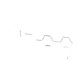 CC(=O)C1CC1COc1ccc(-c2cc(OC(C)C)ccc2F)cc1C(F)(F)F